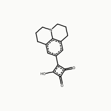 O=c1c(O)c(-c2cc3c4c(c2)CCCN4CCC3)c1=O